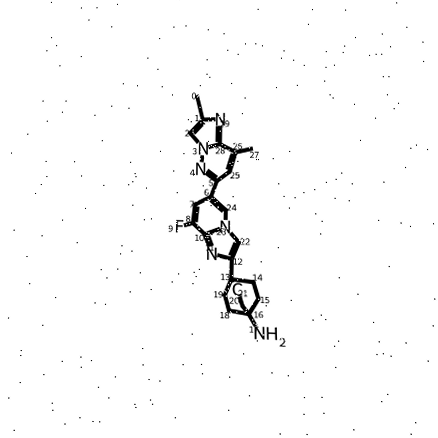 Cc1cn2nc(-c3cc(F)c4nc(C56CCC(N)(CC5)CC6)cn4c3)cc(C)c2n1